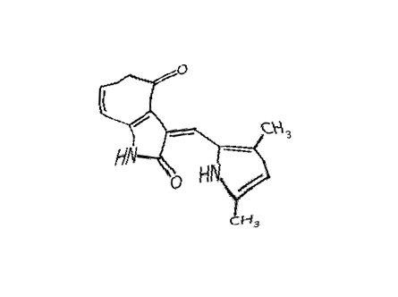 Cc1cc(C)c(C=C2C(=O)NC3=C2C(=O)CC=C3)[nH]1